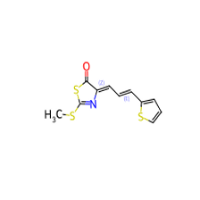 CSC1=N/C(=C\C=C\c2cccs2)C(=O)S1